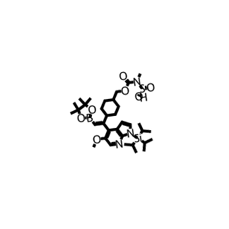 COc1cnc2c(ccn2[Si](C(C)C)(C(C)C)C(C)C)c1C(=CB1OC(C)(C)C(C)(C)O1)C1CCC(COC(=O)N(C)[SH](=O)=O)CC1